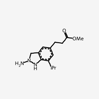 COC(=O)CCc1cc2c(c(C(C)C)c1)NN(N)C2